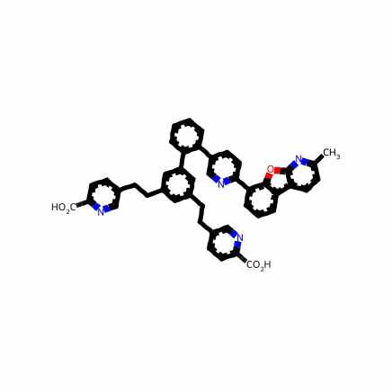 Cc1ccc2c(n1)oc1c(-c3ccc(-c4ccccc4-c4cc(CCc5ccc(C(=O)O)nc5)cc(CCc5ccc(C(=O)O)nc5)c4)cn3)cccc12